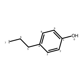 Oc1ccc(CCI)cc1